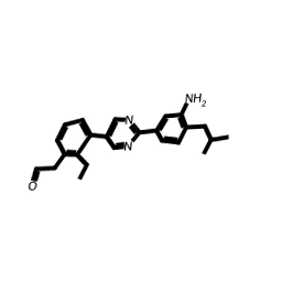 CCc1c(CC=O)cccc1-c1cnc(-c2ccc(CC(C)C)c(N)c2)nc1